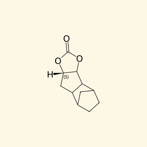 O=C1OC2C3C4CCC(C4)C3C[C@@H]2O1